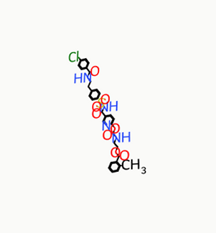 Cc1ccccc1C(=O)OCCNC(=O)Oc1ccc(C(=O)NS(=O)(=O)c2ccc(CCNC(=O)c3ccc(Cl)cc3)cc2)cn1